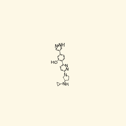 Oc1cc(-c2cn[nH]c2)ccc1-c1ccc(N2CC[C@@H](NC3CC3)C2)nn1